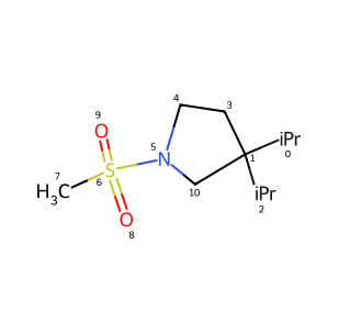 CC(C)C1(C(C)C)CCN(S(C)(=O)=O)C1